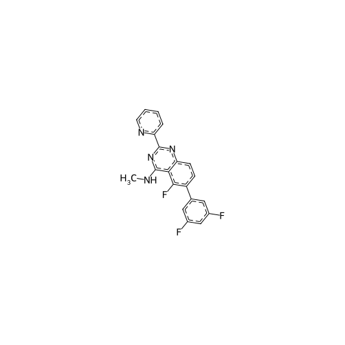 CNc1nc(-c2ccccn2)nc2ccc(-c3cc(F)cc(F)c3)c(F)c12